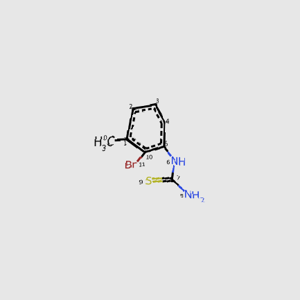 Cc1cccc(NC(N)=S)c1Br